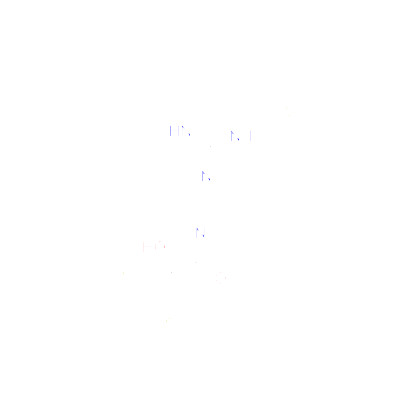 N=C(NCc1cccs1)N1CCN(C(=O)C(O)(c2cccs2)c2cccs2)CC1